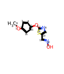 COc1ccc(Oc2ncc(/C=N/O)s2)cc1